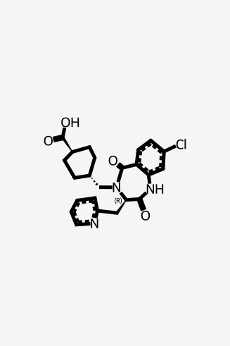 O=C1Nc2cc(Cl)ccc2C(=O)N(C[C@H]2CC[C@H](C(=O)O)CC2)[C@@H]1Cc1ccccn1